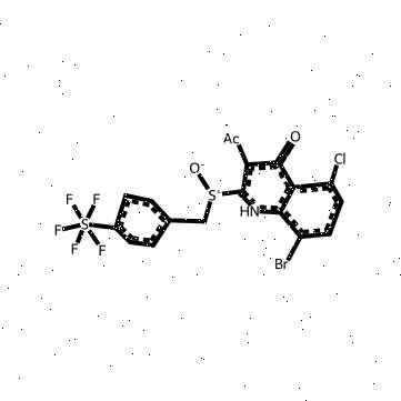 CC(=O)c1c([S+]([O-])Cc2ccc(S(F)(F)(F)(F)F)cc2)[nH]c2c(Br)ccc(Cl)c2c1=O